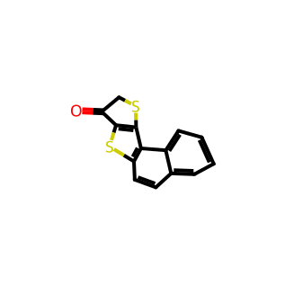 O=C1CSc2c1sc1ccc3ccccc3c21